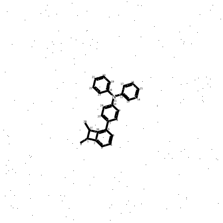 CC1c2cccc(-c3ccc(N(c4ccccc4)c4ccccc4)cc3)c2C1C